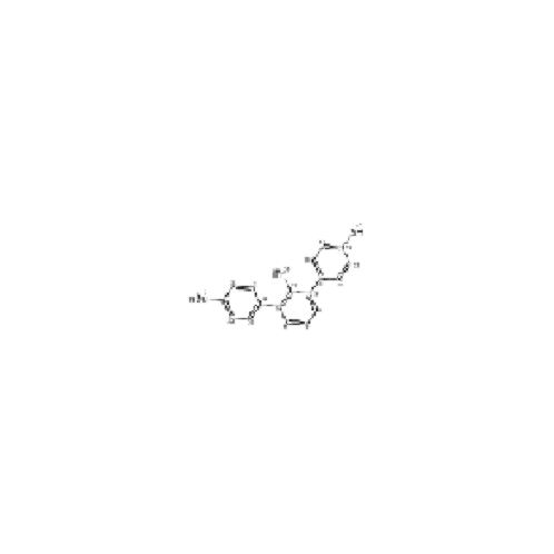 CCCCc1ccc(-c2cccc(-c3ccc(S)cc3)c2C(C)C)cc1